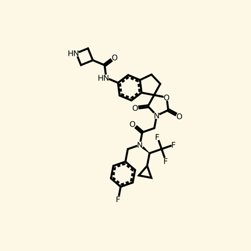 O=C(Nc1ccc2c(c1)CCC21OC(=O)N(CC(=O)N(Cc2ccc(F)cc2)[C@H](C2CC2)C(F)(F)F)C1=O)C1CNC1